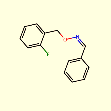 Fc1ccccc1CO/N=[C]\c1ccccc1